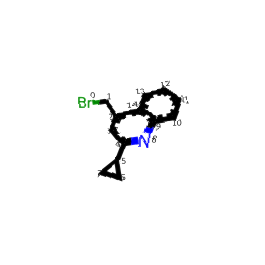 BrCc1cc(C2CC2)nc2ccccc12